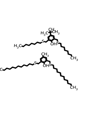 CCCCCCCCCCCCSCc1cc(C)cc(CSCCCCCCCCCCCC)c1O.CCCCCCCCSCc1cc(C(C)(C)C)cc(CSCCCCCCCC)c1O